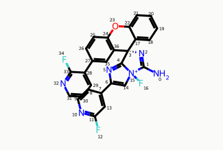 NC1=N[C@@]2(C3=NC(c4ccnc(F)c4)=C[N+]13F)c1ccccc1Oc1ccc(-c3cccnc3F)cc12